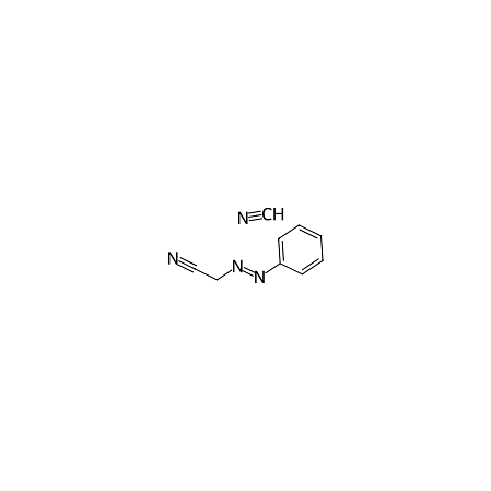 C#N.N#CCN=Nc1ccccc1